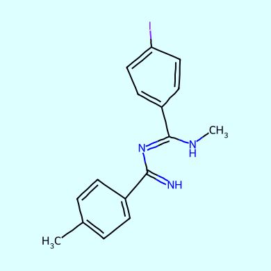 CN/C(=N\C(=N)c1ccc(C)cc1)c1ccc(I)cc1